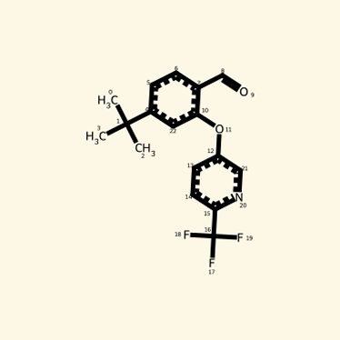 CC(C)(C)c1ccc(C=O)c(Oc2ccc(C(F)(F)F)nc2)c1